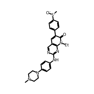 CCn1c(=O)c(-c2ccc([S+](C)[O-])cc2)cc2cnc(Nc3ccc(N4CCN(C)CC4)cc3)nc21